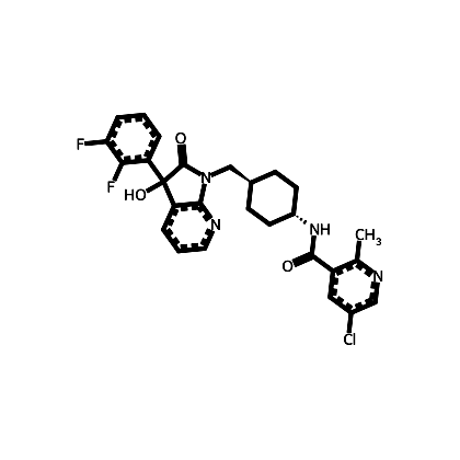 Cc1ncc(Cl)cc1C(=O)N[C@H]1CC[C@H](CN2C(=O)C(O)(c3cccc(F)c3F)c3cccnc32)CC1